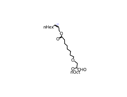 CCCCCC/C=C\COC(=O)CCCCCCCOCC(C=O)OCCCCCCCC